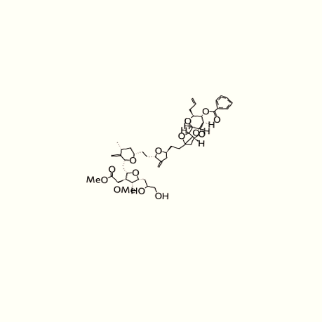 C=CC[C@@H]1O[C@@H]2[C@H]3O[C@@H]4CC(CC[C@H]5CC(=C)[C@H](CC[C@H]6C[C@@H](C)C(=C)[C@@H](C[C@@H]7O[C@H](CC(O)CO)[C@H](OC)[C@H]7CC(=O)OC)O6)O5)(O[C@H]3[C@H]1OC(=O)c1ccccc1)O[C@H]24